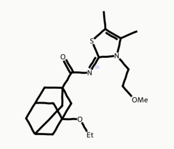 CCOC12CC3CC(C1)CC(C(=O)/N=c1\sc(C)c(C)n1CCOC)(C3)C2